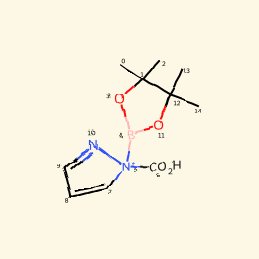 CC1(C)OB([N+]2(C(=O)O)C=CC=N2)OC1(C)C